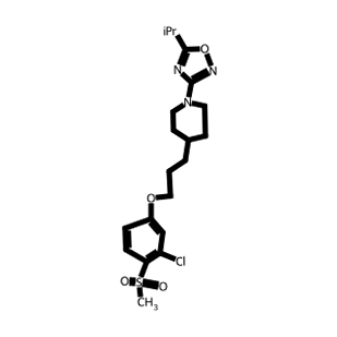 CC(C)c1nc(N2CCC(CCCOc3ccc(S(C)(=O)=O)c(Cl)c3)CC2)no1